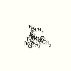 C=C(F)C(=O)N1CCN(c2nc(OC[C@@H]3C[C@@H](F)CN3C)nc3c(F)c(-c4cncc5cccc(C)c45)ncc23)CC1